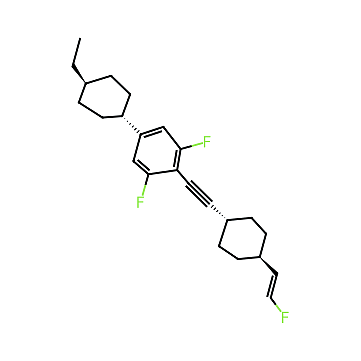 CC[C@H]1CC[C@H](c2cc(F)c(C#C[C@H]3CC[C@H](C=CF)CC3)c(F)c2)CC1